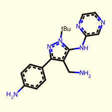 CC(C)(C)n1nc(-c2ccc(N)cc2)c(CN)c1Nc1cnccn1